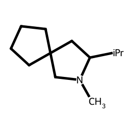 CC(C)C1CC2(CCCC2)CN1C